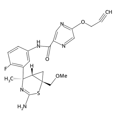 C#CCOc1cnc(C(=O)Nc2ccc(F)c([C@]3(C)N=C(N)S[C@@]4(COC)C[C@H]43)c2)cn1